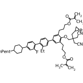 C=C(C)C(=O)OCCCc1cc(-c2ccc(-c3ccc(C4CCC(CCCCC)CC4)cc3F)c(CC)c2)cc(CCCOC(=O)C(=C)C)c1OCC(CC#N)(CC#N)CC1CN1